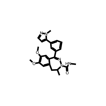 CNC(=O)N1N=C(c2cccc(-c3ccnn3C)c2)c2cc(OC)c(OC)cc2CC1C